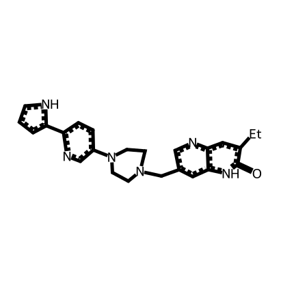 CCc1cc2ncc(CN3CCN(c4ccc(-c5ccc[nH]5)nc4)CC3)cc2[nH]c1=O